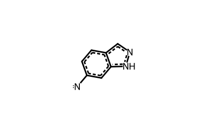 [N]c1ccc2cn[nH]c2c1